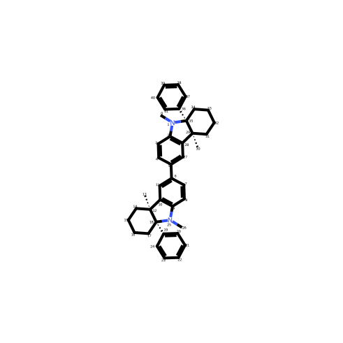 CN1c2ccc(-c3ccc4c(c3)[C@]3(C)CCCC[C@]3(c3ccccc3)N4C)cc2[C@]2(C)CCCC[C@]12c1ccccc1